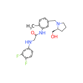 Cc1ccc(CN2CCC[C@H]2CO)cc1NC(=O)CNc1ccc(F)c(F)c1